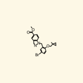 COC(=O)c1ccc2c(cnn2Cc2cc(Br)ccc2OCC2(C)CC2)c1